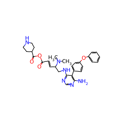 CN(C)C(/C=C/C(=O)OC(=O)C1CCNCC1)CNc1ncnc(N)c1-c1ccc(Oc2ccccc2)cc1